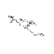 C=CC[N+](C)(C)CCC.CCCCCCCC/C=C\CCCCCCCCCCCC([NH-])=O